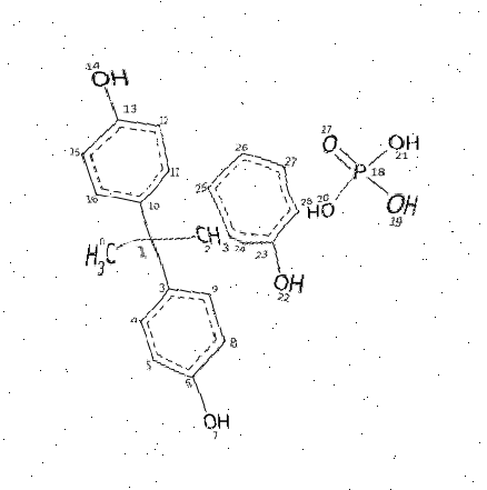 CC(C)(c1ccc(O)cc1)c1ccc(O)cc1.O=P(O)(O)O.Oc1ccccc1